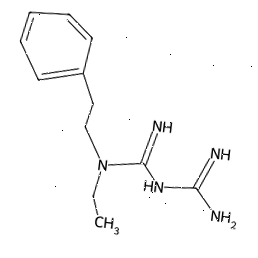 CCN(CCc1ccccc1)C(=N)NC(=N)N